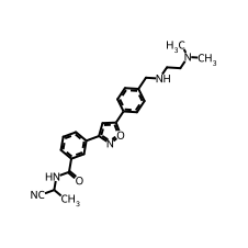 CC(C#N)NC(=O)c1cccc(-c2cc(-c3ccc(CNCCN(C)C)cc3)on2)c1